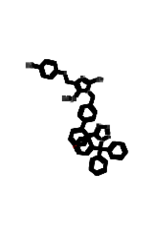 CCCc1nc(CSc2ccc(O)cc2)c(C(=O)OCC)n1Cc1ccc(-c2ccccc2-c2nnnn2C(c2ccccc2)(c2ccccc2)c2ccccc2)cc1